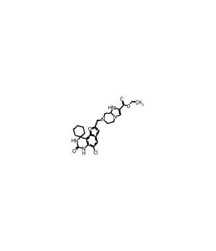 CCOC(=O)C1=CN2CCN(Cc3cc4cc(Cl)c5c(c4o3)C3(CCCCC3)NC(=O)N5)CC2N1